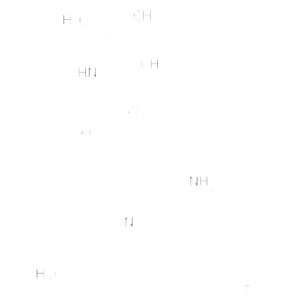 CC(C)(C)NC(=O)O[C@H]1C[C@@H](CO)N(c2ccc(F)cc2N)C1